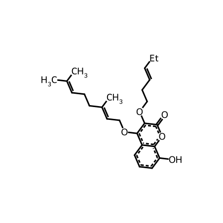 CCC=CCCOc1c(OC/C=C(\C)CCC=C(C)C)c2cccc(O)c2oc1=O